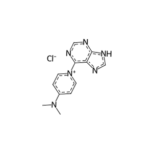 CN(C)c1cc[n+](-c2ncnc3[nH]cnc23)cc1.[Cl-]